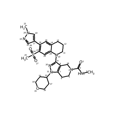 CNC(=O)N1CCc2c(c(N3CCCc4cc(-c5cnn(C)c5)c(S(C)(=O)=O)cc43)nn2C2CCOCC2)C1